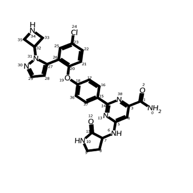 NC(=O)c1cc(NC2CCNC2=O)nc(-c2ccc(Oc3ccc(Cl)cc3-c3ccnn3C3CNC3)cc2)n1